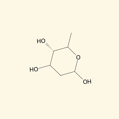 CC1OC(O)CC(O)[C@@H]1O